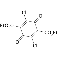 CCOC(=O)C1=C(Cl)C(=O)C(C(=O)OCC)=C(Cl)C1=O